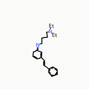 CCN(CC)CCCCN=C1C=C(C=Cc2ccccc2)C=CC1